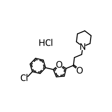 Cl.O=C(CCN1CCCCC1)c1ccc(-c2cccc(Cl)c2)o1